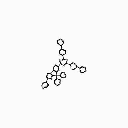 c1ccc(-c2ccc(-c3nc(-c4ccc(-c5ccccc5)cc4)nc(-c4ccc5c(c4)C(c4ccccc4)(c4ccccc4)c4cc(-c6ccncc6)ccc4-5)n3)cc2)cc1